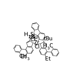 CCc1ccc2c(c1-c1ccccc1C)C=C(C(C)(C)C)[CH]2[Zr]([Cl])([Cl])([c]1cccc2c1[SiH2]c1ccccc1-2)[CH]1C(C(C)(C)C)=Cc2c1ccc(CC)c2-c1ccccc1C